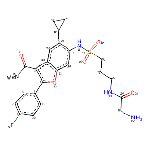 CNC(=O)c1c(-c2ccc(F)cc2)oc2cc(NS(=O)(=O)CCCNC(=O)CN)c(C3CC3)cc12